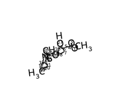 COC(=O)C=Cc1ccc(OCc2sc(-c3ccc(C)cc3)nc2C)cc1O